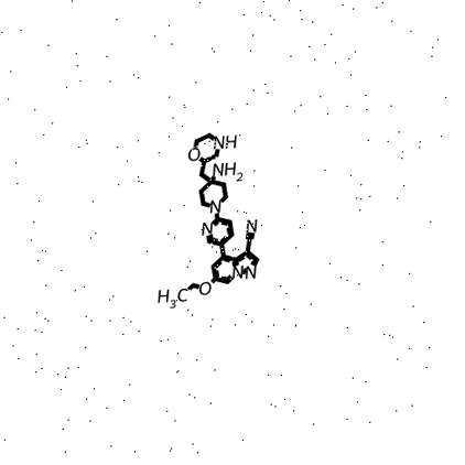 CCOc1cc(-c2ccc(N3CCC(N)(CC4CNCCO4)CC3)nc2)c2c(C#N)cnn2c1